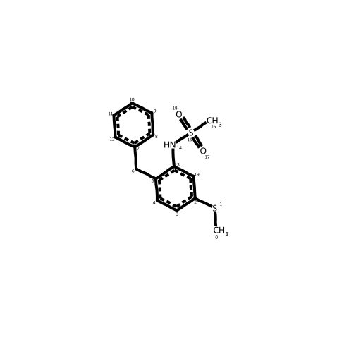 CSc1ccc(Cc2ccccc2)c(NS(C)(=O)=O)c1